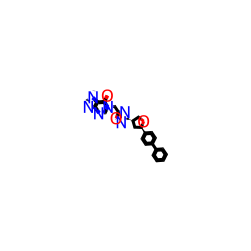 Cn1cnc2ncn(Cc3nc([C@@H]4CO[C@@H](c5ccc(-c6ccccc6)cc5)C4)no3)c(=O)c21